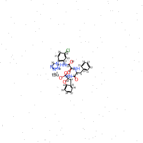 CC(C)(C)OC(=O)C1(NC(=O)C(Cc2ccccc2)NC(=O)C(=O)Nc2cc(Cl)ccc2-n2cnnn2)Cc2ccccc2O1